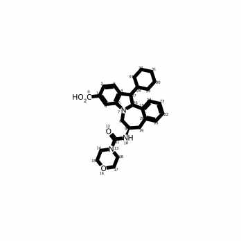 O=C(O)c1ccc2c(c1)N1C[C@H](NC(=O)N3CCOCC3)Cc3ccccc3C1C2C1CCCCC1